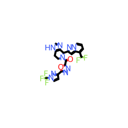 O=C(c1nnc(-c2ccn(C(F)(F)F)n2)o1)N1CCc2[nH]cnc2C1c1cc2c(C(F)F)cccn2n1